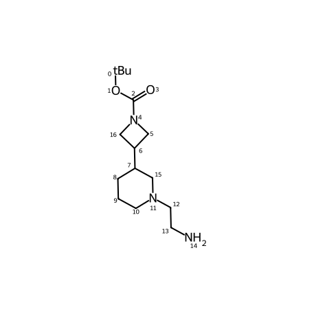 CC(C)(C)OC(=O)N1CC(C2CCCN(CCN)C2)C1